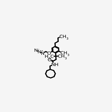 CCCCc1cc(C)c(C(C)(C)CC(=O)NCC2CCCCCCC2)c(OCN=[N+]=[N-])c1